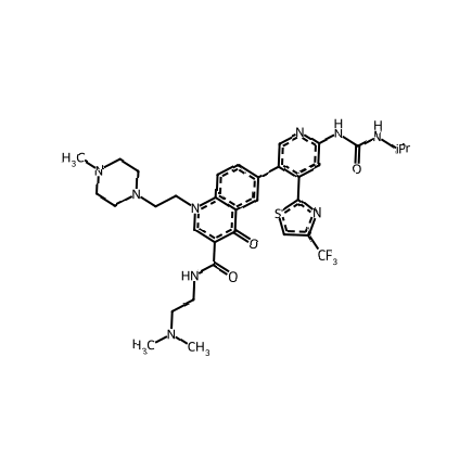 CC(C)NC(=O)Nc1cc(-c2nc(C(F)(F)F)cs2)c(-c2ccc3c(c2)c(=O)c(C(=O)NCCN(C)C)cn3CCN2CCN(C)CC2)cn1